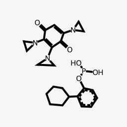 O=C1C=C(N2CC2)C(=O)C(N2CC2)=C1N1CC1.OP(O)Oc1ccccc1C1CCCCC1